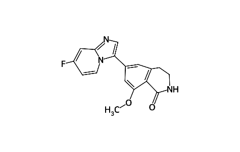 COc1cc(-c2cnc3cc(F)ccn23)cc2c1C(=O)NCC2